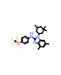 Cc1cc(C)c2nc(Nc3ccc(OC(F)(F)F)cc3)n(C3CC(C)CC(C)(C)C3)c2c1